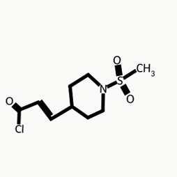 CS(=O)(=O)N1CCC(C=CC(=O)Cl)CC1